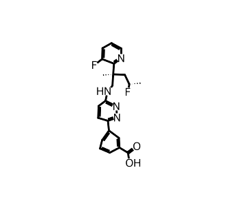 C[C@H](F)C[C@@](C)(CNc1ccc(-c2cccc(C(=O)O)c2)nn1)c1ncccc1F